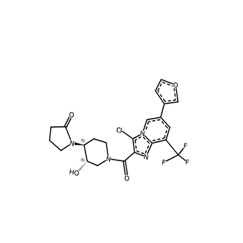 O=C(c1nc2c(C(F)(F)F)cc(-c3ccoc3)cn2c1Cl)N1CC[C@H](N2CCCC2=O)[C@@H](O)C1